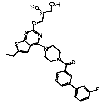 CCc1cc2c(N3CCN(C(=O)c4cccc(-c5cccc(F)c5)c4)CC3)nc(OC[C@H](O)CO)nc2s1